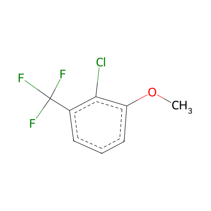 COc1cccc(C(F)(F)F)c1Cl